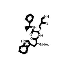 CC(=O)N[C@@H](Cc1c[nH]c2ccccc12)C(=O)N[C@@H](CCC(=O)C=N)C(=O)NC1(c2ccccc2)CC1